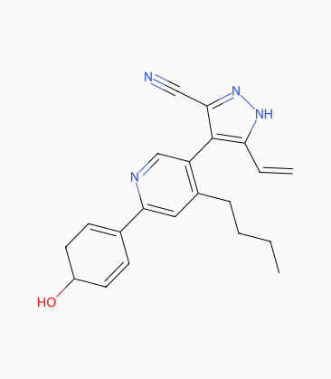 C=Cc1[nH]nc(C#N)c1-c1cnc(C2=CCC(O)C=C2)cc1CCCC